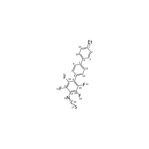 CCc1ccc(-c2ccc(-c3c(F)c(F)c(N=C=S)c(F)c3F)cc2)cc1